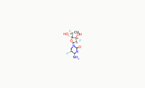 C[C@@H](F)[C@]1(CO)O[C@@H](n2cc(F)c(N)nc2=O)[C@@H](F)[C@@H]1O